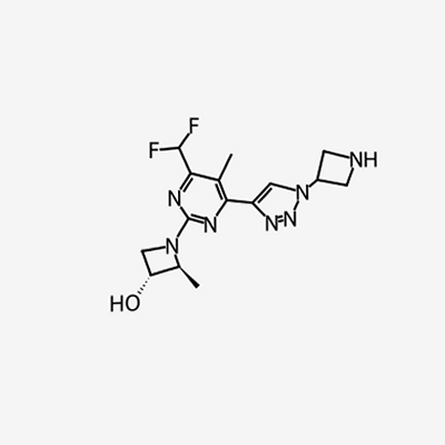 Cc1c(-c2cn(C3CNC3)nn2)nc(N2C[C@@H](O)[C@@H]2C)nc1C(F)F